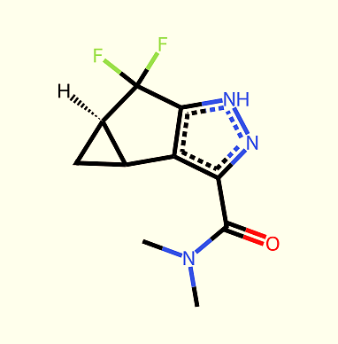 CN(C)C(=O)c1n[nH]c2c1C1C[C@H]1C2(F)F